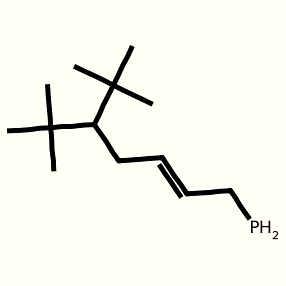 CC(C)(C)C(CC=CCP)C(C)(C)C